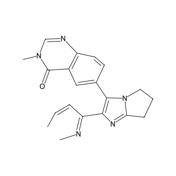 C/C=C\C(=N/C)c1nc2n(c1-c1ccc3ncn(C)c(=O)c3c1)CCC2